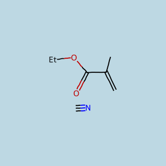 C#N.C=C(C)C(=O)OCC